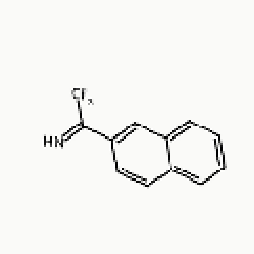 N=C(c1ccc2ccccc2c1)C(F)(F)F